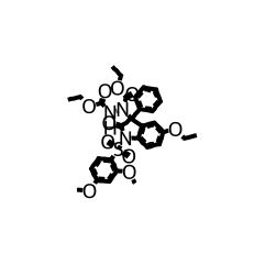 CCOC(=O)NN(C(=O)OCC)C1(c2ccccc2)C(=O)N(S(=O)(=O)c2ccc(OC)cc2OC)c2ccc(OCC)cc21